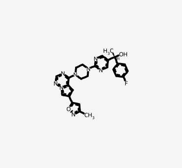 Cc1cc(-c2cc3c(N4CCN(c5ncc([C@](C)(O)c6ccc(F)cc6)cn5)CC4)ncnn3c2)on1